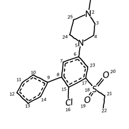 CCN1CCN(c2cc(-c3ccccc3)c(Cl)c(S(=O)(=O)CC)c2)CC1